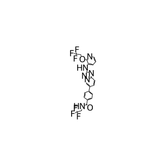 O=C(NCC(F)(F)F)c1ccc(-c2ccc3nc(Nc4cccnc4OCC(F)(F)F)nn3c2)cc1